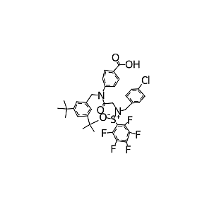 CC(C)(C)c1cc(CN(C(=O)CN(Cc2ccc(Cl)cc2)[S+]([O-])c2c(F)c(F)c(F)c(F)c2F)c2ccc(C(=O)O)cc2)cc(C(C)(C)C)c1